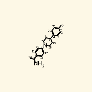 Cc1ccc(C2CCN(c3ccc(C(C)N)cc3)CC2)cc1